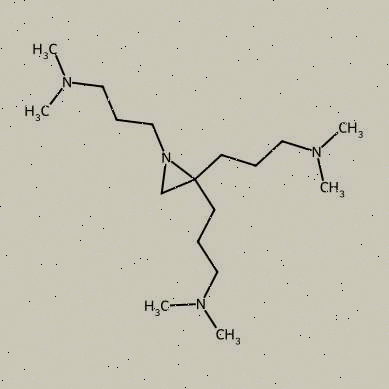 CN(C)CCCN1CC1(CCCN(C)C)CCCN(C)C